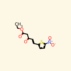 CCOC(=O)CC(=O)C=Cc1ccc([N+](=O)[O-])s1